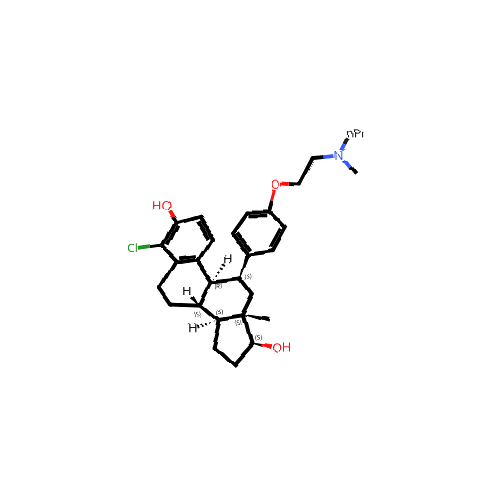 CCCN(C)CCOc1ccc([C@H]2C[C@]3(C)[C@@H](O)CC[C@H]3[C@@H]3CCc4c(ccc(O)c4Cl)[C@H]32)cc1